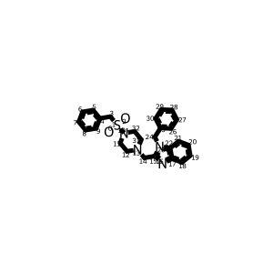 O=S(=O)(Cc1ccccc1)N1CCN(Cc2nc3ccccc3n2Cc2ccccc2)CC1